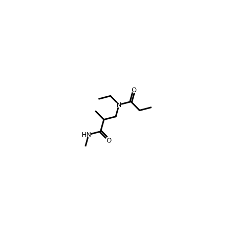 CCC(=O)N(CC)CC(C)C(=O)NC